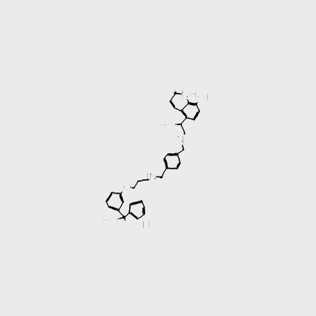 O=C(NCCCOc1cccc(C(O)(C(=O)O)c2ccccc2)c1)c1ccc(CNCC(O)c2ccc(O)c3[nH]c(=O)ccc23)cc1